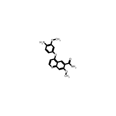 COc1cc(Oc2ccnc3cc(OC)c(C(N)=O)cc23)ccc1N